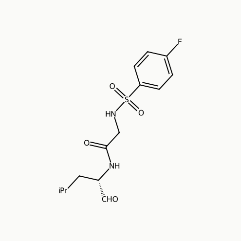 CC(C)C[C@@H](C=O)NC(=O)CNS(=O)(=O)c1ccc(F)cc1